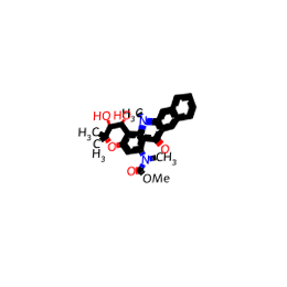 COC(=O)N(C)c1cc2c(c3c1c(=O)c1cc4ccccc4cc1n3C)[C@H](O)[C@H](O)C(C)(C)O2